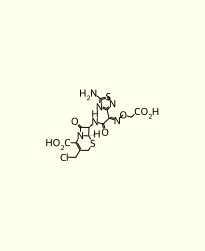 Nc1nc(/C(=N\OCC(=O)O)C(=O)N[C@@H]2C(=O)N3C(C(=O)O)=C(CCl)CS[C@H]23)ns1